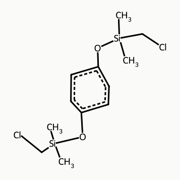 C[Si](C)(CCl)Oc1ccc(O[Si](C)(C)CCl)cc1